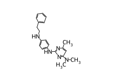 Cc1cc(N(C)C)nc(Nc2ccc(NCCc3ccccc3)cc2)n1